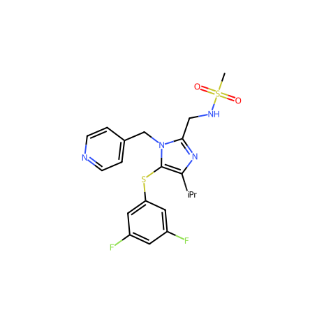 CC(C)c1nc(CNS(C)(=O)=O)n(Cc2ccncc2)c1Sc1cc(F)cc(F)c1